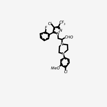 COc1cc(N2CCN(C(C=O)Cn3nc(C(F)(F)F)c(Cl)c3-c3ccccc3F)CC2)ccc1Cl